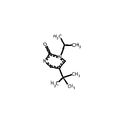 CC(C)n1cc(C(C)(C)C)cnc1=O